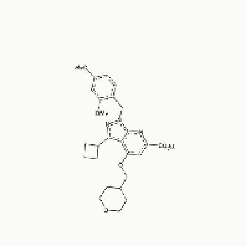 CCOC(=O)c1cc(OCC2CCOCC2)c2c(C3CCC3)nn(Cc3ccc(OC)cc3OC)c2n1